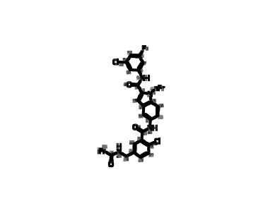 CCCn1c(C(=O)Nc2cc(F)cc(Cl)c2)cc2cc(NC(=O)c3cc(CNC(=O)C(C)C)ccc3Cl)ccc21